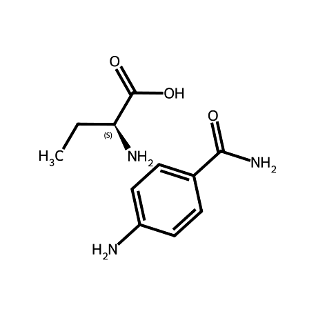 CC[C@H](N)C(=O)O.NC(=O)c1ccc(N)cc1